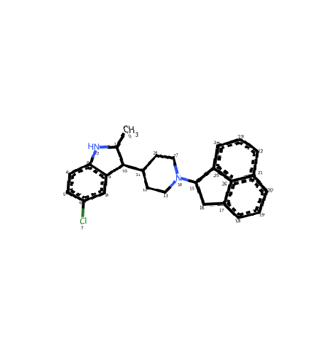 CC1Nc2ccc(Cl)cc2C1C1CCN(C2Cc3cccc4cccc2c34)CC1